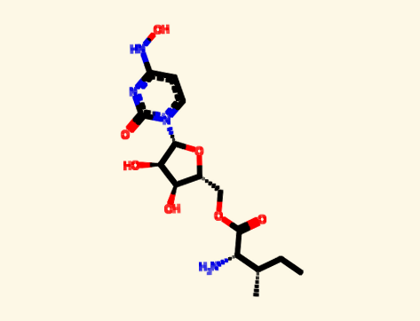 CC[C@H](C)[C@H](N)C(=O)OC[C@H]1O[C@@H](n2ccc(NO)nc2=O)[C@H](O)[C@@H]1O